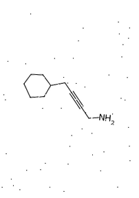 NCC#C[CH]C1CCCCC1